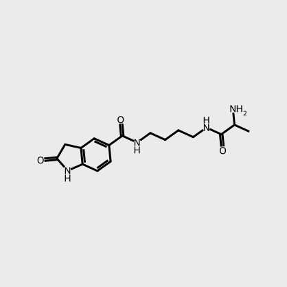 CC(N)C(=O)NCCCCNC(=O)c1ccc2c(c1)CC(=O)N2